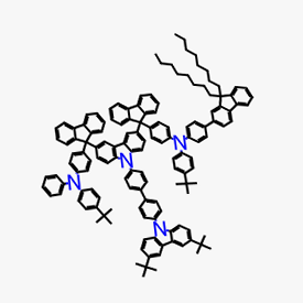 CCCCCCCCC1(CCCCCCCC)c2ccccc2-c2ccc(-c3ccc(N(c4ccc(C(C)(C)C)cc4)c4ccc(C5(c6ccc7c(c6)c6cc(C8(c9ccc(N(c%10ccccc%10)c%10ccc(C(C)(C)C)cc%10)cc9)c9ccccc9-c9ccccc98)ccc6n7-c6ccc(-c7ccc(-n8c9ccc(C(C)(C)C)cc9c9cc(C(C)(C)C)ccc98)cc7)cc6)c6ccccc6-c6ccccc65)cc4)cc3)cc21